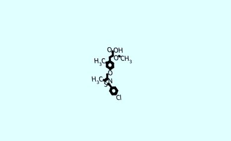 CCOC(Cc1ccc(OCc2nc(-c3ccc(Cl)cc3)sc2C)cc1C)C(=O)O